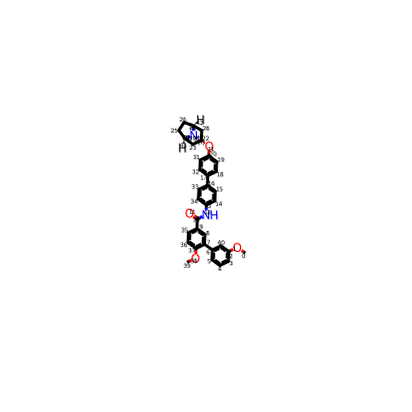 COc1cccc(-c2cc(C(=O)Nc3ccc(-c4ccc(O[C@H]5C[C@H]6CC[C@@H](C5)N6C)cc4)cc3)ccc2OC)c1